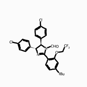 CC(C)(C)c1ccc(C2=N[C@H](c3ccc(Cl)cc3)[C@@H](c3ccc(Cl)cc3)N2C=O)c(OCC(F)(F)F)c1